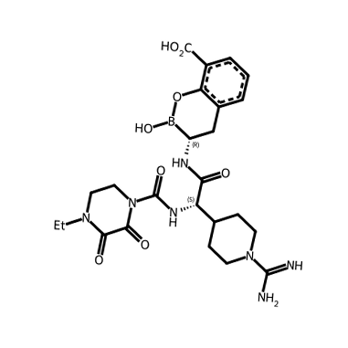 CCN1CCN(C(=O)N[C@H](C(=O)N[C@H]2Cc3cccc(C(=O)O)c3OB2O)C2CCN(C(=N)N)CC2)C(=O)C1=O